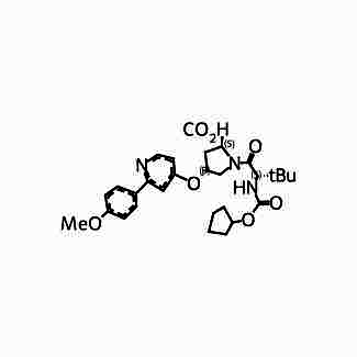 COc1ccc(-c2cc(O[C@@H]3C[C@@H](C(=O)O)N(C(=O)[C@@H](NC(=O)OC4CCCC4)C(C)(C)C)C3)ccn2)cc1